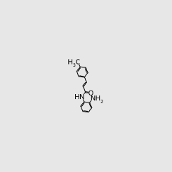 Cc1ccc(/C=C/C(=O)Nc2ccccc2N)cc1